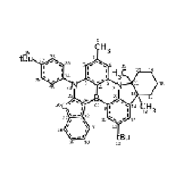 Cc1cc2c3c(c1)N1c4c(cc(C(C)(C)C)cc4C4(C)CCCCC14C)B3c1c(oc3ccccc13)N2c1ccc(C(C)(C)C)cc1